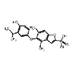 Cc1cc2oc(P(=O)(O)O)cc2c(C)c1Oc1ccc(O)c(C(C)C)c1